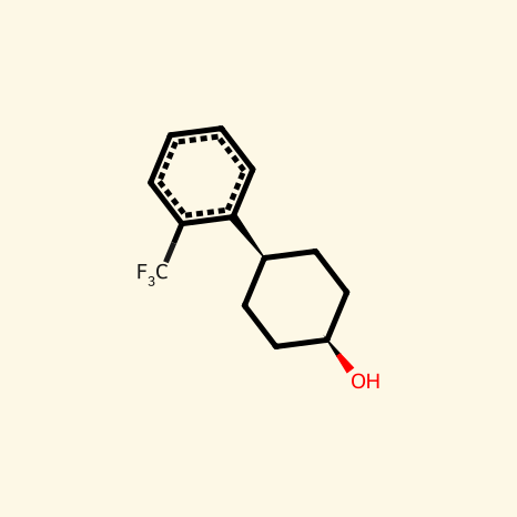 O[C@H]1CC[C@@H](c2ccccc2C(F)(F)F)CC1